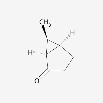 C[C@H]1[C@H]2CCC(=O)[C@@H]12